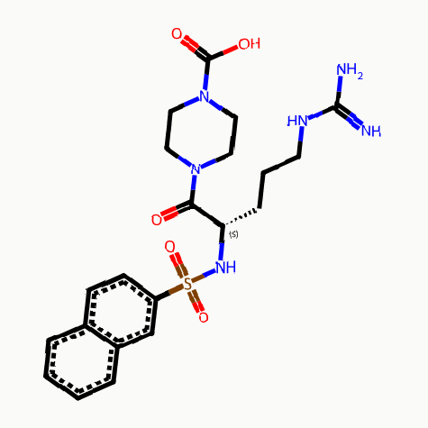 N=C(N)NCCC[C@H](NS(=O)(=O)c1ccc2ccccc2c1)C(=O)N1CCN(C(=O)O)CC1